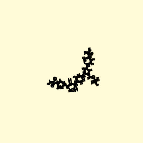 CCS(=O)(=O)c1ccc([C@H](CO)NC(=O)c2cnc(N3CC(c4ccc(C(F)(F)F)cc4)C[C@H]3COC(C)(F)F)nc2)nc1